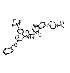 CC(=O)N1CCN(c2ccc3ncn(CC(=O)NC(CC(=O)OCc4ccccc4)c4ccc(C(F)(F)F)cc4)c(=O)c3c2)CC1